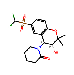 CC1(C)Oc2ccc(S(=O)(=O)C(F)F)cc2[C@H](N2CCCCC2=O)[C@H]1O